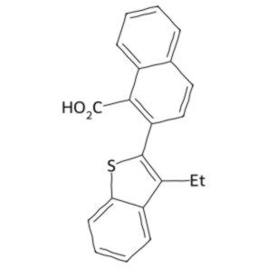 CCc1c(-c2ccc3ccccc3c2C(=O)O)sc2ccccc12